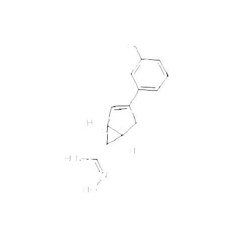 N/C(=N\O)[C@@H]1[C@H]2C=C(c3cccc(Cl)c3)C[C@H]21